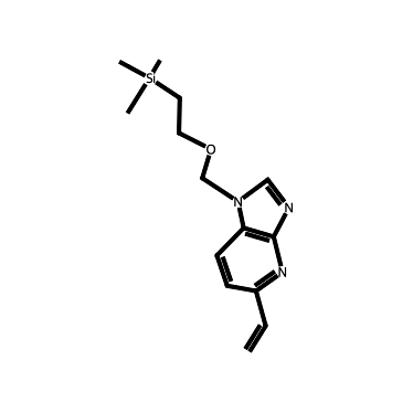 C=Cc1ccc2c(ncn2COCC[Si](C)(C)C)n1